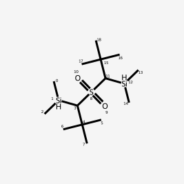 C[SiH](C)C(C(C)(C)C)S(=O)(=O)C([SiH](C)C)C(C)(C)C